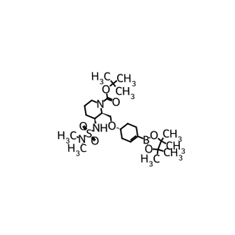 CN(C)S(=O)(=O)N[C@H]1CCCN(C(=O)OC(C)(C)C)[C@H]1CO[C@H]1CC=C(B2OC(C)(C)C(C)(C)O2)CC1